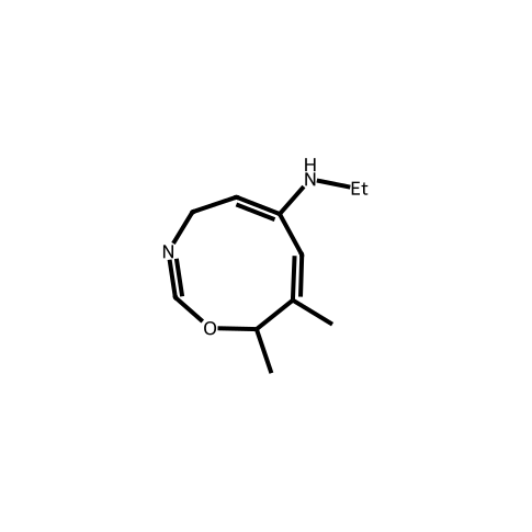 CCNC1=C/C/N=C\OC(C)/C(C)=C\1